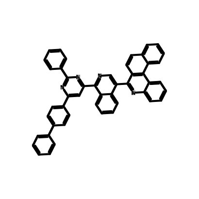 c1ccc(-c2ccc(-c3cc(-c4ncc(-c5nc6ccccc6c6c5ccc5ccccc56)c5ccccc45)nc(-c4ccccc4)n3)cc2)cc1